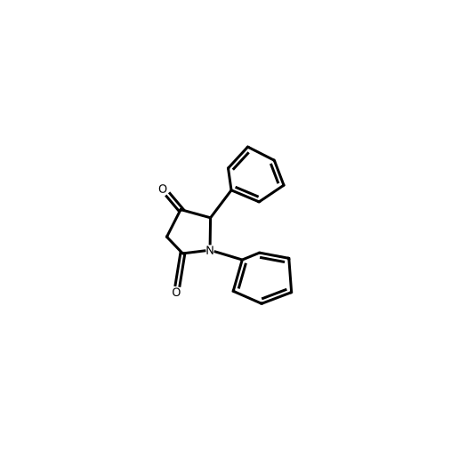 O=C1CC(=O)N(c2ccccc2)C1c1ccccc1